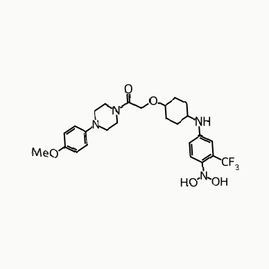 COc1ccc(N2CCN(C(=O)COC3CCC(Nc4ccc(N(O)O)c(C(F)(F)F)c4)CC3)CC2)cc1